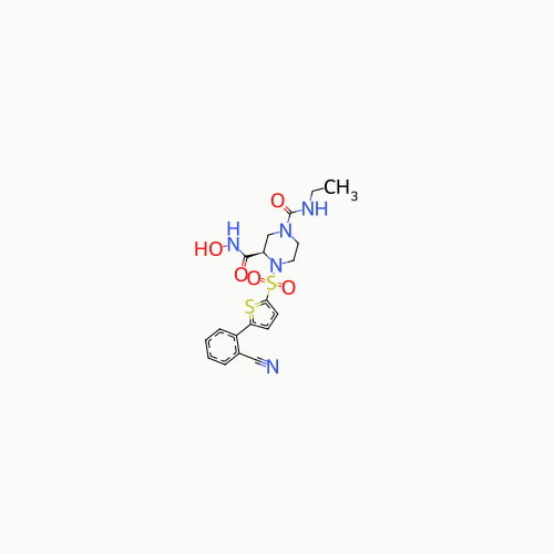 CCNC(=O)N1CCN(S(=O)(=O)c2ccc(-c3ccccc3C#N)s2)[C@@H](C(=O)NO)C1